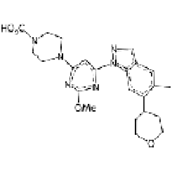 COc1nc(N2CCN(C(=O)O)CC2)cc(-n2ncc3cc(C)c(C4CCOCC4)cc32)n1